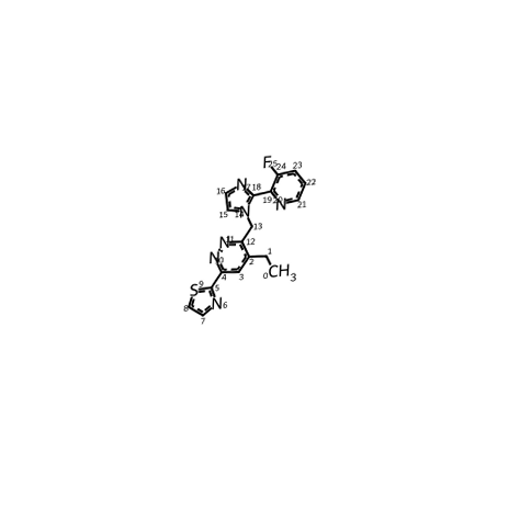 CCc1cc(-c2nccs2)nnc1Cn1ccnc1-c1ncccc1F